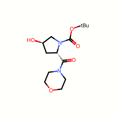 CC(C)(C)OC(=O)N1C[C@H](O)C[C@H]1C(=O)N1CCOCC1